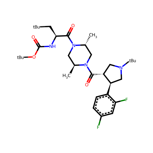 C[C@@H]1CN(C(=O)[C@@H]2CN(C(C)(C)C)C[C@H]2c2ccc(F)cc2F)[C@@H](C)CN1C(=O)[C@H](CC(C)(C)C)NC(=O)OC(C)(C)C